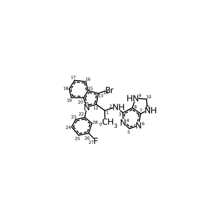 CC(Nc1ncnc2c1NCN2)c1c(Br)c2ccccc2n1-c1cccc(F)c1